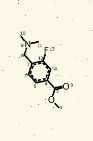 COC(=O)c1ccc(CN(C)C)c(F)c1